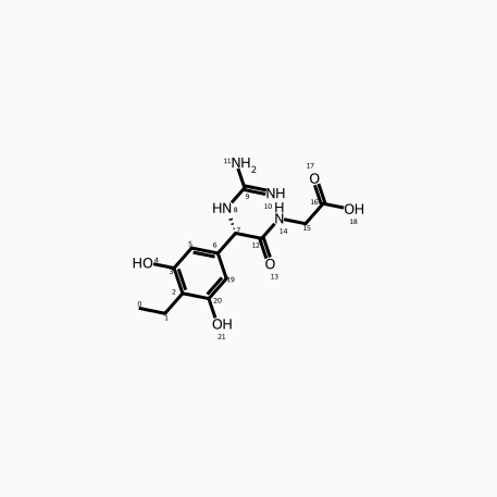 CCc1c(O)cc([C@H](NC(=N)N)C(=O)NCC(=O)O)cc1O